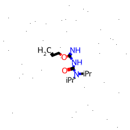 C=CCOC(=N)NC(=O)N(C(C)C)C(C)C